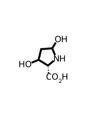 O=C(O)[C@H]1NC(O)CC1O